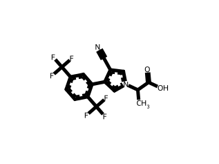 CC(C(=O)O)n1cc(C#N)c(-c2cc(C(F)(F)F)ccc2C(F)(F)F)c1